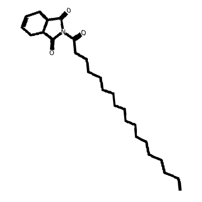 CCCCCCCCCCCCCCCCCC(=O)N1C(=O)C2CC=CCC2C1=O